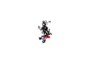 CC[C@@]12CC[C@@]3([C@@H](O)CN(CC4CCC4)C(=O)CN4CCCC4)CC(=O)C(C(C)C)=C3[C@H]1CC[C@@H]1[C@@]3(C)CC=C(C4=CCC(C(=O)O)CC4)C(C)(C)[C@@H]3CC[C@]12C